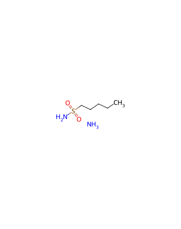 CCCCCS(N)(=O)=O.N